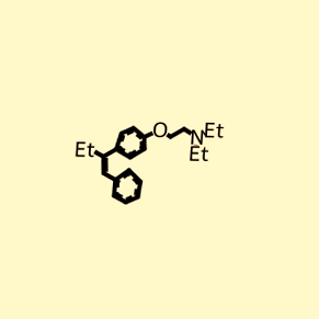 CCC(=Cc1ccccc1)c1ccc(OCCN(CC)CC)cc1